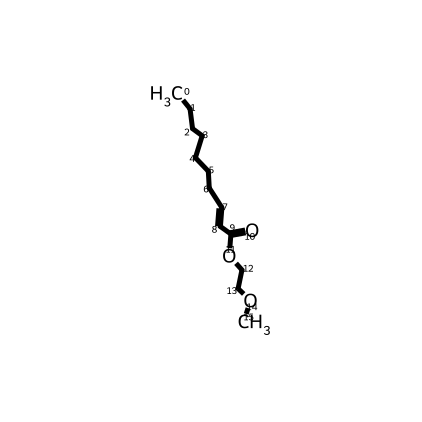 CCCCCCCC=CC(=O)OCCOC